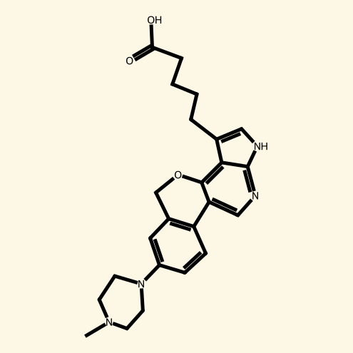 CN1CCN(c2ccc3c(c2)COc2c-3cnc3[nH]cc(CCCCC(=O)O)c23)CC1